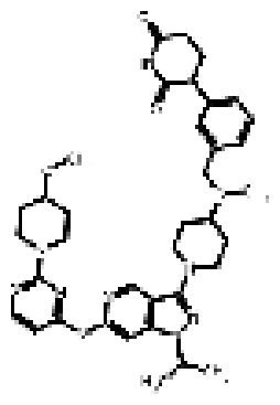 COC1CCN(c2nccc(Nc3cc4c(cn3)c(N3CCC(N(C)Cc5cccc(C6CCC(=O)NC6=O)c5)CC3)nn4C(C)C)n2)CC1